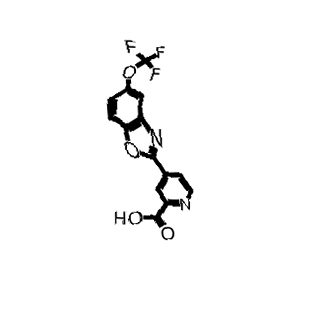 O=C(O)c1cc(-c2nc3cc(OC(F)(F)F)ccc3o2)ccn1